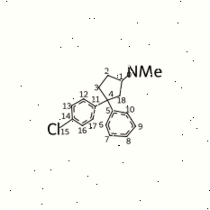 CNC1CCC(c2ccccc2)(c2ccc(Cl)cc2)C1